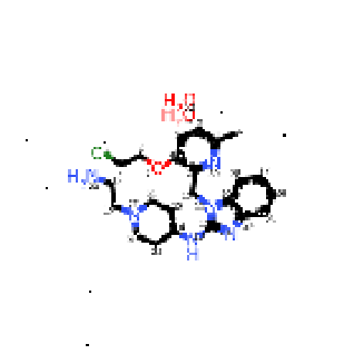 Cc1ccc(OCCCl)c(Cn2c(NC3CCN(CCN)CC3)nc3ccccc32)n1.O.O